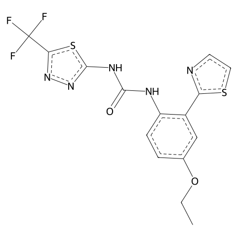 CCOc1ccc(NC(=O)Nc2nnc(C(F)(F)F)s2)c(-c2nccs2)c1